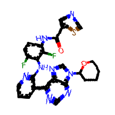 O=C(Nc1ccc(F)c(Nc2ncccc2-c2ncnc3c2ncn3C2CCCCO2)c1F)c1cncs1